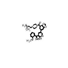 COc1ccccc1-c1n[nH]c2ncc(-c3cc4c(c(C(=O)N5CCN(CCN(C)C)CC5)c3)OCO4)cc12